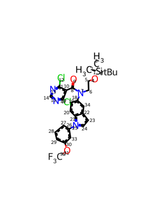 CC(C)(C)[Si](C)(C)OCCN(C(=O)c1c(Cl)ncnc1Cl)c1ccc2c(ccn2-c2cccc(OC(F)(F)F)c2)c1